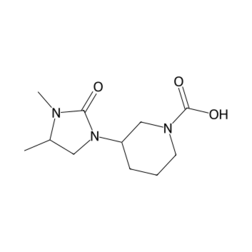 CC1CN(C2CCCN(C(=O)O)C2)C(=O)N1C